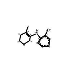 CCc1ccccc1NC1=C(C)CCCC1